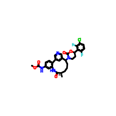 COC(=O)Nc1ccc2c(c1)NC(=O)[C@H](C)CCCC(N1CCC(c3c(F)ccc(Cl)c3F)OC1=O)c1cncc-2c1